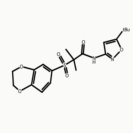 CC(C)(C)c1cc(NC(=O)C(C)(C)S(=O)(=O)c2ccc3c(c2)OCCO3)no1